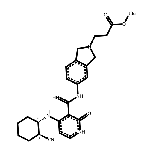 CC(C)(C)OC(=O)CCN1Cc2ccc(NC(=N)c3c(N[C@H]4CCCC[C@@H]4C#N)cc[nH]c3=O)cc2C1